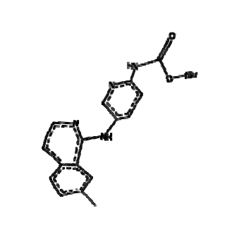 Cc1ccc2ccnc(Nc3ccc(NC(=O)OC(C)(C)C)nc3)c2c1